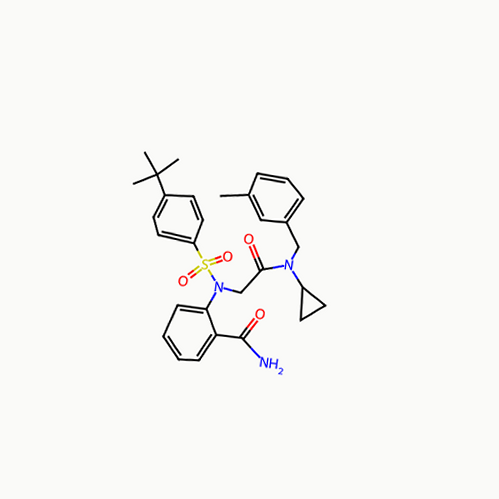 Cc1cccc(CN(C(=O)CN(c2ccccc2C(N)=O)S(=O)(=O)c2ccc(C(C)(C)C)cc2)C2CC2)c1